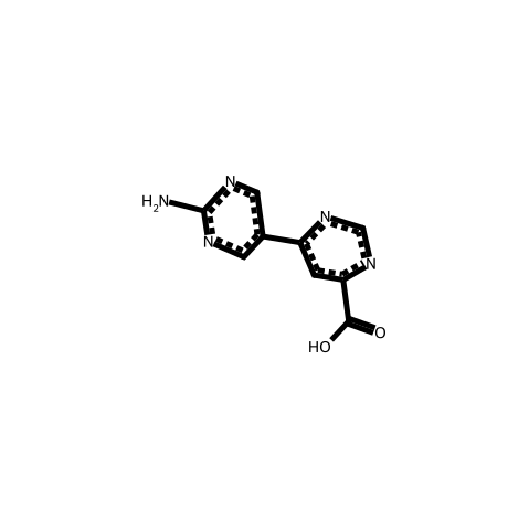 Nc1ncc(-c2cc(C(=O)O)ncn2)cn1